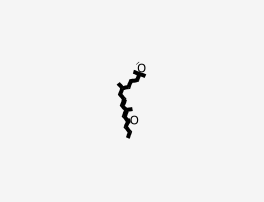 CCCC(=O)/C=C(C)/C=C/CC(C)CCCC(C)(C)OC